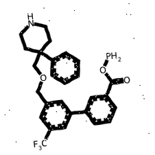 O=C(OP)c1cccc(-c2cc(COCC3(c4ccccc4)CCNCC3)cc(C(F)(F)F)c2)c1